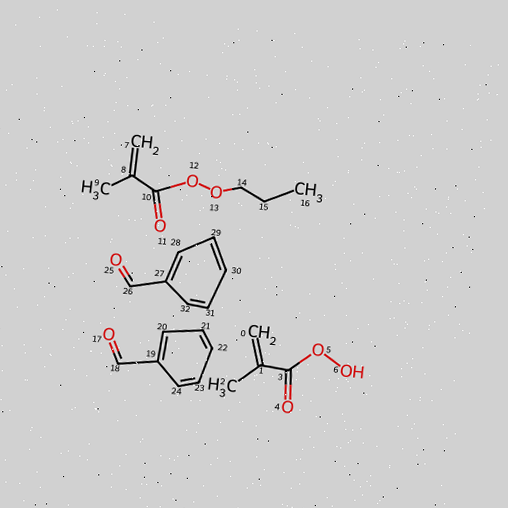 C=C(C)C(=O)OO.C=C(C)C(=O)OOCCC.O=Cc1ccccc1.O=Cc1ccccc1